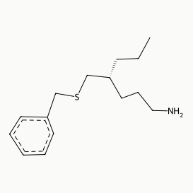 CCC[C@H](CCCN)CSCc1ccccc1